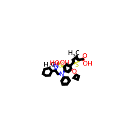 Cc1cc(-c2cc3c(cc2OC2CCC2)N(c2ccccc2)CC(C2CCCCC2)N(C)S3(O)O)sc1C(=O)O